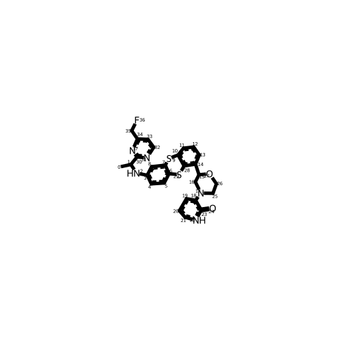 CC(Nc1ccc2c(c1)Sc1cccc(C3CN(c4ccc[nH]c4=O)CCO3)c1S2)c1nccc(CF)n1